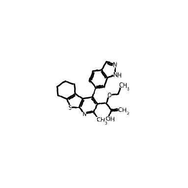 C=C(O)C(OCC)c1c(C)nc2sc3c(c2c1-c1ccc2cn[nH]c2c1)CCCC3